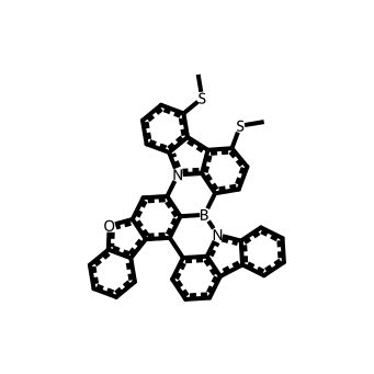 CSc1cccc2c1c1c(SC)ccc3c1n2-c1cc2oc4ccccc4c2c2c1B3n1c3ccccc3c3cccc-2c31